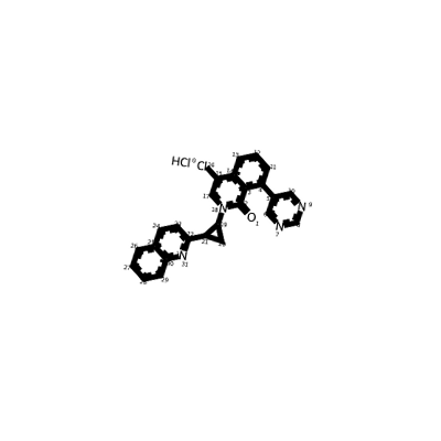 Cl.O=c1c2c(-c3cncnc3)cccc2c(Cl)cn1C1CC1c1ccc2ccccc2n1